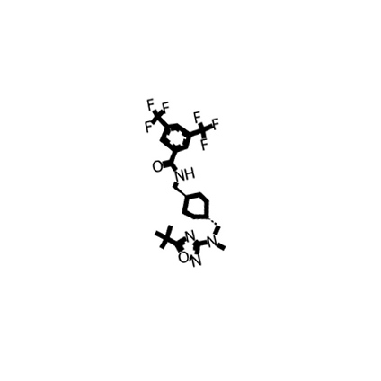 CN(C[C@H]1CC[C@H](CNC(=O)c2cc(C(F)(F)F)cc(C(F)(F)F)c2)CC1)c1noc(C(C)(C)C)n1